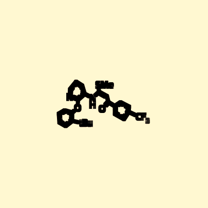 CSC(=CC(=O)c1ccc(C(F)(F)F)cc1)Nc1cccnc1Oc1ccccc1C(C)(C)C